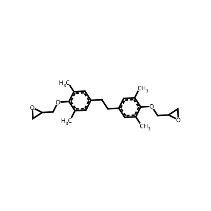 Cc1cc(CCc2cc(C)c(OCC3CO3)c(C)c2)cc(C)c1OCC1CO1